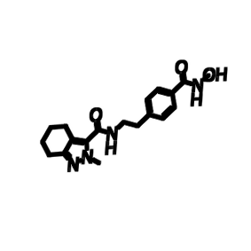 Cn1nc2c(c1C(=O)NCCc1ccc(C(=O)NO)cc1)CCCC2